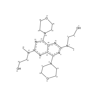 CN(CCO)c1nc(N2CCOCC2)c2nc(N(C)CCO)nc(N3CCOCC3)c2n1